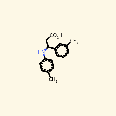 Cc1ccc(NC(CC(=O)O)c2cccc(C(F)(F)F)c2)cc1